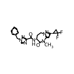 CN1C(=O)[C@H](NC(=O)c2ncn(Cc3ccccc3)n2)CCn2nc([C@H]3CC3(F)F)cc21